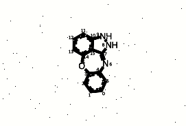 c1ccc2c(c1)N=C1NNc3cccc(c31)O2